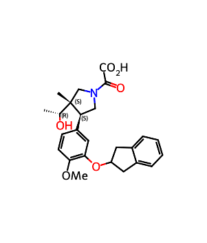 COc1ccc([C@@H]2CN(C(=O)C(=O)O)C[C@@]2(C)[C@@H](C)O)cc1OC1Cc2ccccc2C1